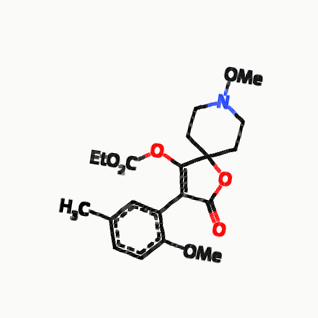 CCOC(=O)OC1=C(c2cc(C)ccc2OC)C(=O)OC12CCN(OC)CC2